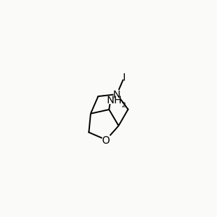 NC1C2COC1CN(I)C2